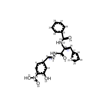 O=C(N/N=C/c1ccc([N+](=O)O)c(O)c1)/C(=C\c1cccs1)NC(=O)c1ccccc1